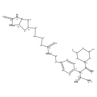 CC1CC(C)CN(C(=N)N(C(=N)N)c2ccc(CCNC(=O)CCCCC3CC4NC(=O)NC4S3)cc2)C1